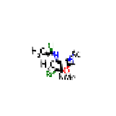 C=C/C(Cl)=N\C=C\C(NC)(OC1CN(C(C)=O)C1)[C@@H](C)Br